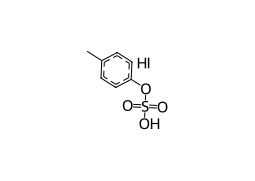 Cc1ccc(OS(=O)(=O)O)cc1.I